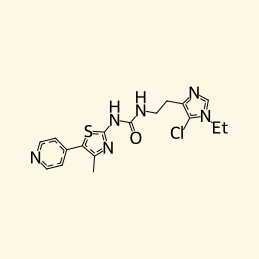 CCn1cnc(CCNC(=O)Nc2nc(C)c(-c3ccncc3)s2)c1Cl